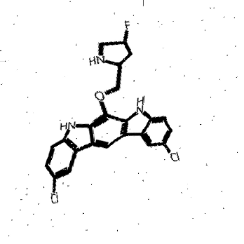 FC1CNC(COc2c3[nH]c4ccc(Cl)cc4c3cc3c2[nH]c2ccc(Cl)cc23)C1